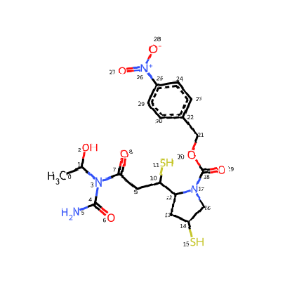 CC(O)N(C(N)=O)C(=O)CC(S)C1CC(S)CN1C(=O)OCc1ccc([N+](=O)[O-])cc1